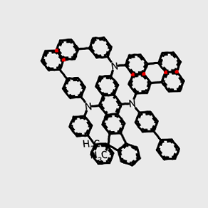 CC1(C)c2ccccc2-c2cc3c(N(c4ccc(-c5ccccc5)cc4)c4cccc(-c5ccccc5)c4)c4cc(N(c5ccc(-c6ccccc6)cc5)c5cccc(-c6ccccc6)c5)ccc4c(N(c4ccc(-c5ccccc5)cc4)c4cccc(-c5ccccc5)c4)c3cc21